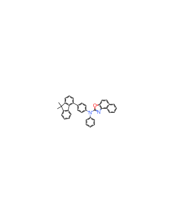 CC1(C)c2ccccc2-c2c(-c3ccc(N(c4ccccc4)c4nc5c(ccc6ccccc65)o4)cc3)cccc21